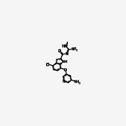 CNC(N)=NC(=O)c1cc2c(Cl)ccc(Oc3cncc(N)c3)c2[nH]1